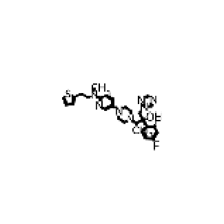 CC(N1CCN(c2ccc(N(C)CCc3cccs3)nc2)CC1)C(O)(Cn1cncn1)c1ccc(F)cc1F